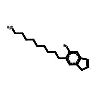 CCCCCCCCCCc1cc2c(cc1Br)C=CC2